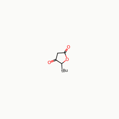 CC(C)(C)C1OC(=O)CC1=O